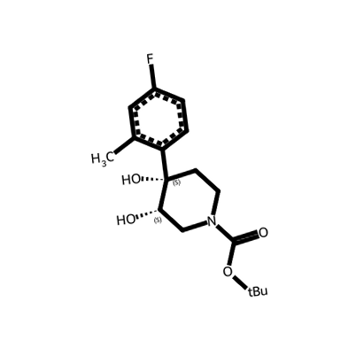 Cc1cc(F)ccc1[C@@]1(O)CCN(C(=O)OC(C)(C)C)C[C@@H]1O